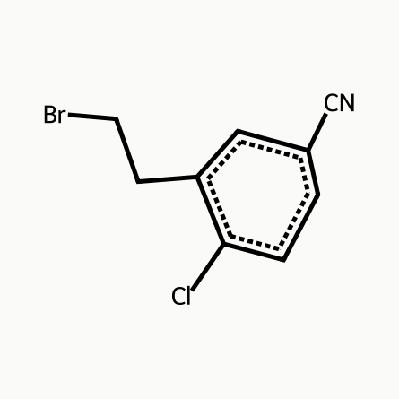 N#Cc1ccc(Cl)c(CCBr)c1